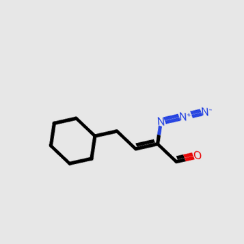 [N-]=[N+]=NC(C=O)=CCC1CCCCC1